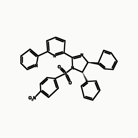 O=[N+]([O-])c1ccc(S(=O)(=O)N2C(c3cccc(-c4ccccn4)n3)=N[C@@H](c3ccccc3)[C@@H]2c2ccccc2)cc1